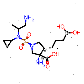 CC(CN)N(C1CC1)S(=O)(=O)N1C[C@H](CCCB(O)O)[C@](N)(C(=O)O)C1